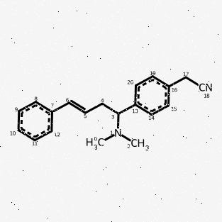 CN(C)C(CC=Cc1ccccc1)c1ccc(CC#N)cc1